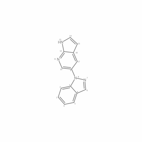 c1ccc2c(c1)cnn2-c1cnc2[nH]ccc2c1